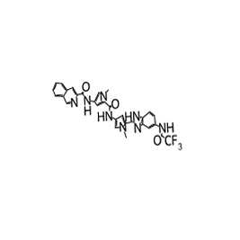 Cn1cc(NC(=O)c2cc3ccccc3cn2)cc1C(=O)Nc1cc(-c2nc3cc(NC(=O)C(F)(F)F)ccc3[nH]2)n(C)c1